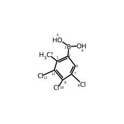 Cc1c(B(O)O)cc(Cl)c(Cl)c1Cl